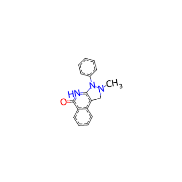 CN1Cc2c([nH]c(=O)c3ccccc23)N1c1ccccc1